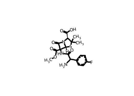 COC(=O)C1(NC(=O)C(N)c2ccc(F)cc2)C(=O)N2[C@@H](C(=O)O)C(C)(C)S[C@@H]21